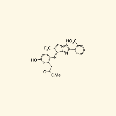 COC(=O)Cc1cc(O)ccc1N=C1C(C(F)(F)F)=Cn2nc(-c3ccccc3C(=O)O)nc21